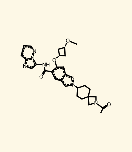 CO[C@H]1C[C@@H](Oc2cc3nn(C4CCC5(CC4)CN(C(C)=O)C5)cc3cc2C(=O)Nc2cnc3cccnn23)C1